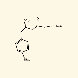 CNCCC(=O)N[C@@H](Cc1ccc(NC)cc1)C(=O)O